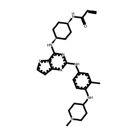 C=CC(=O)N[C@H]1CC[C@@H](Nc2nc(Nc3ccc(NC4CCN(C)CC4)c(C)c3)nc3ccsc23)CC1